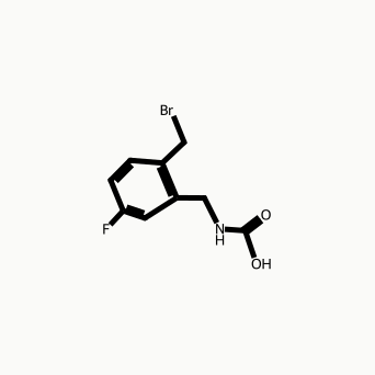 O=C(O)NCc1cc(F)ccc1CBr